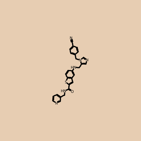 N#Cc1ccc(Cn2cncc2CNc2ccc3sc(C(=O)NCc4cccnc4)cc3c2)cc1